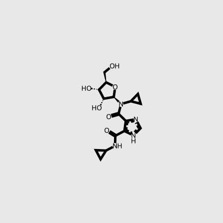 O=C(NC1CC1)c1[nH]cnc1C(=O)N(C1CC1)[C@@H]1O[C@H](CO)[C@@H](O)[C@H]1O